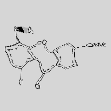 COc1ccc2c(=O)c3c(Cl)ccc([N+](=O)[O-])c3oc2c1